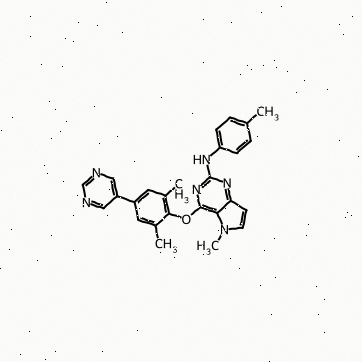 Cc1ccc(Nc2nc(Oc3c(C)cc(-c4cncnc4)cc3C)c3c(ccn3C)n2)cc1